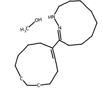 C1=C(/C2=N\NCCCCCCCC2)CCCCCCCCC/1.CO